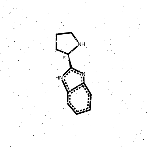 c1ccc2[nH]c([C@H]3CCCN3)nc2c1